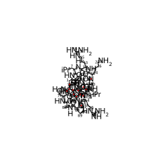 CC(C)CC(NC(=O)C(CC(C)C)NC(=O)C(CCCNC(=N)N)NC(=O)C(CCCCN)NC(=O)C(C)(C)NC(=O)C(CC(C)C)NC(=O)C(CCCCN)NC(=O)C(CCCNC(=N)N)NC(=O)C(CC(C)C)NC(=O)C(CS)NC(=O)C(CO)NC(=O)C(C)NC(=O)c1ccccn1)C(=O)NC(CS)C(N)=O